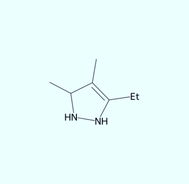 CCC1=C(C)C(C)NN1